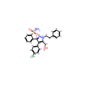 NS(=O)(=O)c1ccccc1-c1nn(CCc2ccccc2)c(CO)c1-c1ccc(Cl)cc1